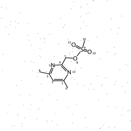 Cc1cc(C)nc(COS(C)(=O)=O)n1